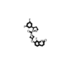 O=C(N1CC(Oc2ccc3ccc(=O)[nH]c3c2F)C1)N1N=CCC1c1cc(F)cc(F)c1